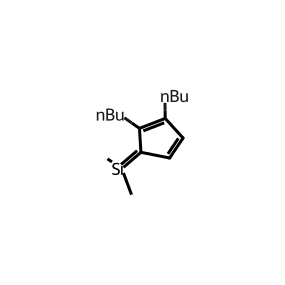 CCCCC1=C(CCCC)C(=[Si](C)C)C=C1